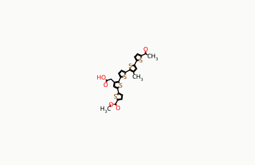 COC(=O)c1ccc(-c2cc(CC(=O)O)c(-c3ccc(-c4sc(-c5ccc(C(C)=O)s5)cc4C)s3)s2)s1